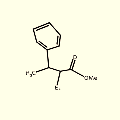 CCC(C(=O)OC)C(C)c1ccccc1